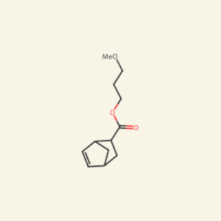 COCCCOC(=O)C1CC2C=CC1C2